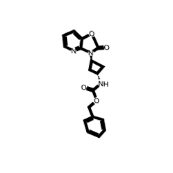 O=C(N[C@H]1C[C@H](n2c(=O)oc3cccnc32)C1)OCc1ccccc1